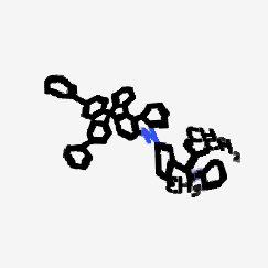 C=CC(C=C)=C(/C=C1/C=CC=CC1)c1cc(-n2c3ccccc3c3c4c(ccc32)C(c2ccc(C3=CCCC=C3)cc2)(c2ccc(-c3ccccc3)cc2)c2ccccc2-4)ccc1C